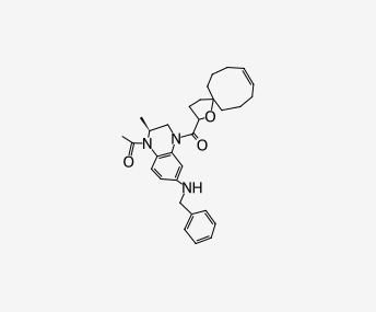 CC(=O)N1c2ccc(NCc3ccccc3)cc2N(C(=O)C2CCC3(CCC/C=C\CCC3)O2)C[C@@H]1C